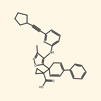 Cc1noc(C2(C3(C(=O)O)CC3)C=CC(c3ccccc3)=CC2)c1Nc1cccc(C#CC2CCCC2)n1